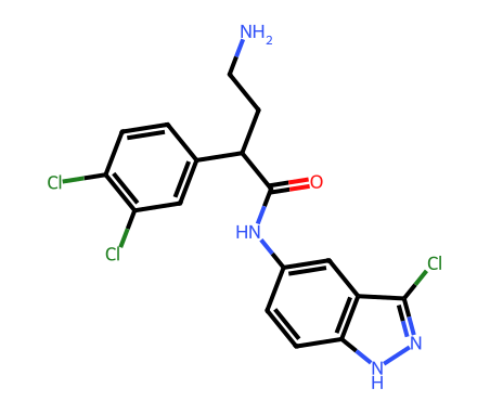 NCCC(C(=O)Nc1ccc2[nH]nc(Cl)c2c1)c1ccc(Cl)c(Cl)c1